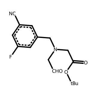 CC(C)(C)OC(=O)CN(CC=O)Cc1cc(F)cc(C#N)c1